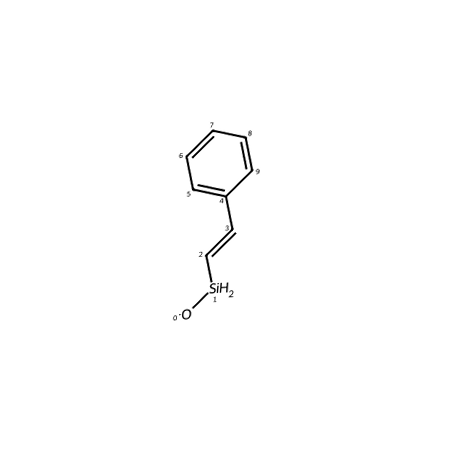 [O][SiH2]C=Cc1ccccc1